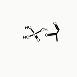 CC(=O)C=O.O=P(O)(O)O